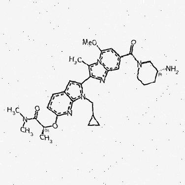 COc1cc(C(=O)N2CCC[C@@H](N)C2)cc2nc(-c3cc4ccc(O[C@@H](C)C(=O)N(C)C)nc4n3CC3CC3)c(C)n12